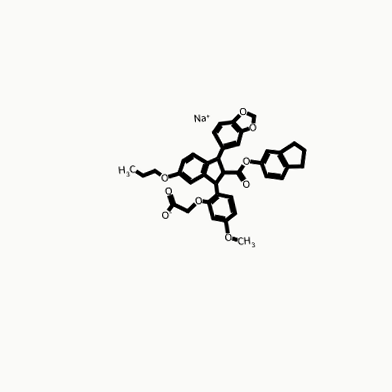 CCCOc1ccc2c(c1)C(c1ccc(OC)cc1OCC(=O)[O-])C(C(=O)Oc1ccc3c(c1)CCC3)C2c1ccc2c(c1)OCO2.[Na+]